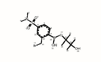 CN(C)S(=O)(=O)c1ccc(B(O)OC(C)(C)C(C)(C)O)c(CBr)c1